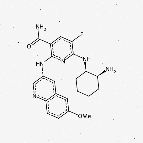 COc1ccc2ncc(Nc3nc(N[C@@H]4CCCC[C@@H]4N)c(F)cc3C(N)=O)cc2c1